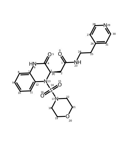 O=C(C[C@@H]1C(=O)Nc2ccccc2N1S(=O)(=O)N1CCOCC1)NCCc1ccncc1